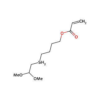 C=CC(=O)OCCCC[SiH2]CC(OC)OC